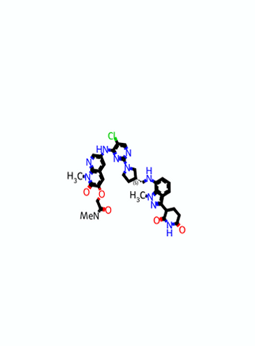 CNC(=O)COc1cc2cc(Nc3nc(N4CC[C@@H](CNc5cccc6c(C7CCC(=O)NC7=O)nn(C)c56)C4)ncc3Cl)cnc2n(C)c1=O